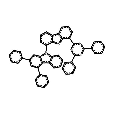 c1ccc(-c2cc(-c3ccccc3)c3c4ccccc4n(-c4cccc5c4oc4c(-c6nc(-c7ccccc7)nc(-c7ccccc7)n6)cccc45)c3c2)cc1